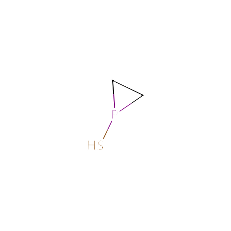 SP1CC1